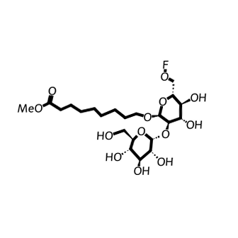 COC(=O)CCCCCCCCO[C@H]1O[C@H](COF)[C@@H](O)[C@H](O)[C@H]1O[C@H]1O[C@H](CO)[C@@H](O)[C@H](O)[C@H]1O